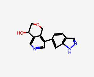 OC1COCc2c(-c3ccc4cn[nH]c4c3)cncc21